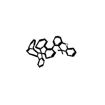 CC1(C)c2ccccc2Oc2cccc(-c3cccc4c3-c3ccccc3C43c4ccccc4-c4ccc5ccccc5c43)c21